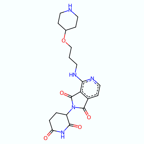 O=C1CCC(N2C(=O)c3ccnc(NCCCOC4CCNCC4)c3C2=O)C(=O)N1